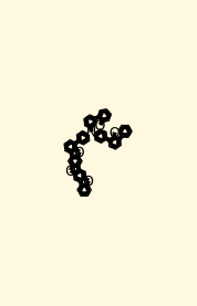 c1ccc2c(c1)oc1cc3c(cc12)oc1cc2c(cc13)oc1c(-c3ccc(N(c4ccc(-c5cccc6c5oc5ccccc56)cc4)c4cccc5c4oc4ccccc45)cc3)cccc12